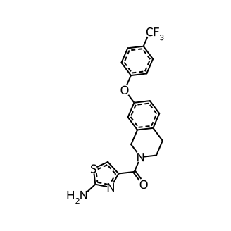 Nc1nc(C(=O)N2CCc3ccc(Oc4ccc(C(F)(F)F)cc4)cc3C2)cs1